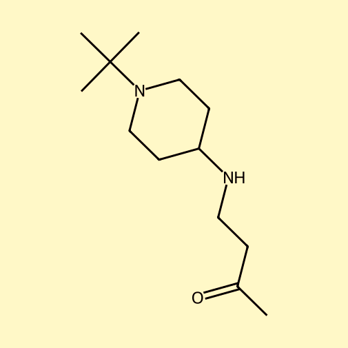 CC(=O)CCNC1CCN(C(C)(C)C)CC1